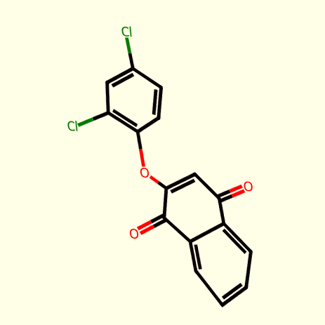 O=C1C=C(Oc2ccc(Cl)cc2Cl)C(=O)c2ccccc21